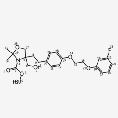 CC(C)(C)OC(=O)N1C(CO)(CCc2ccc(OCCOc3cccc(F)c3)cc2)COC1(C)C